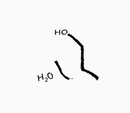 CCCO.O.[CH2]C